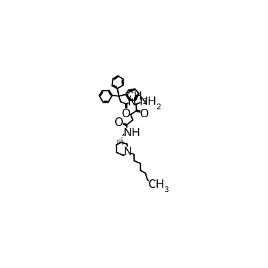 CCCCCCCN1CCC[C@H](CNC(=O)CCC(=O)C(N)N(C)C(=O)CC(c2ccccc2)(c2ccccc2)c2ccccc2)C1